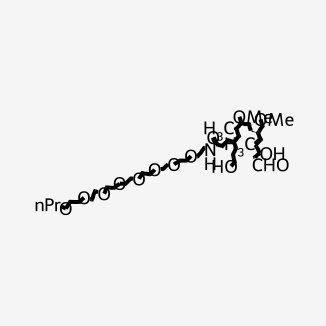 CCCOCCOCCOCCOCCOCCOCCOCCOCCNC(=O)CCC(CCCO)C[C@@H](C)C(CC[C@@H](/C=C(\C)C(O)CC=O)COC)OC